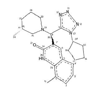 Cc1cccc2cc([C@H](c3nnnn3C3CCCC3)N3CCC[C@@H](C)C3)c(=O)[nH]c12